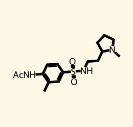 CC(=O)Nc1ccc(S(=O)(=O)NCCC2CCCN2C)cc1C